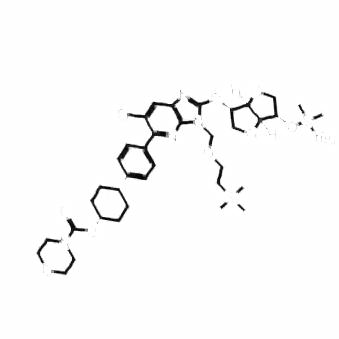 CC(C)(C)[Si](C)(C)O[C@@H]1CO[C@H]2[C@@H]1OC[C@H]2Oc1nc2cc(Cl)c(-c3ccc([C@H]4CC[C@@H](OC(=O)N5CCOCC5)CC4)cc3)nc2n1COCC[Si](C)(C)C